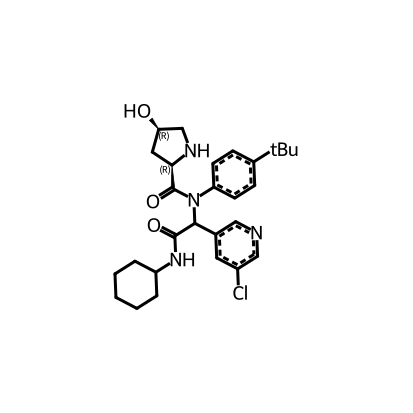 CC(C)(C)c1ccc(N(C(=O)[C@H]2C[C@@H](O)CN2)C(C(=O)NC2CCCCC2)c2cncc(Cl)c2)cc1